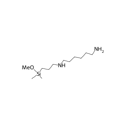 CO[Si](C)(C)CCCNCCCCCCN